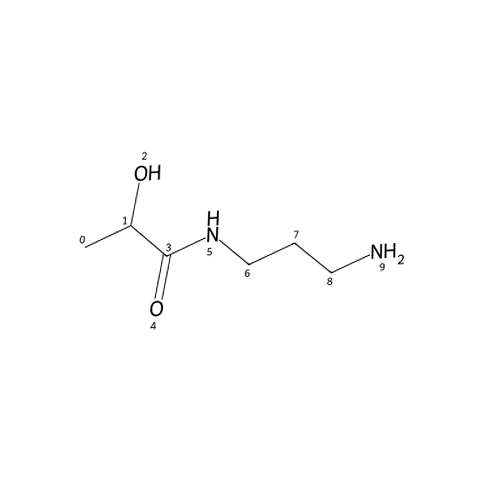 CC(O)C(=O)NCCCN